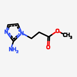 COC(=O)CCn1ccnc1N